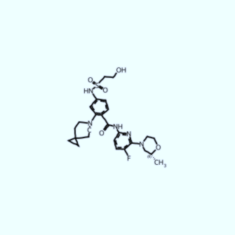 C[C@@H]1CN(c2nc(NC(=O)c3ccc(NS(=O)(=O)CCO)cc3N3CCC4(CC3)CC4)ccc2F)CCO1